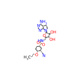 CCCOc1ccc(S(=O)(=O)NC[C@H]2O[C@@H](n3ccc4c(N)ncnc43)[C@H](O)[C@@H]2O)cc1C#N